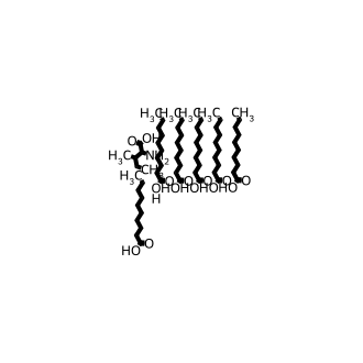 CCC(C)C(N)C(=O)O.CCCCCCCCCC(=O)O.CCCCCCCCCC(=O)O.CCCCCCCCCC(=O)O.CCCCCCCCCC(=O)O.CCCCCCCCCC(=O)O.CCCCCCCCCC(=O)O